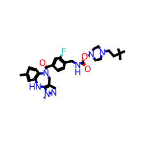 Cc1ccc2c(c1)Nc1c(cnn1C)CN2C(=O)c1ccc(CNC(=O)ON2CCN(CCC(C)(C)C)CC2)c(F)c1